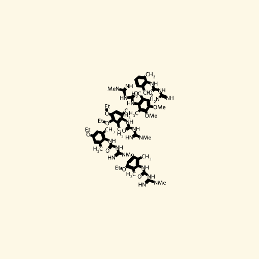 CCOc1cc(C)c(NC(=O)NC(=N)NC)c(C)c1.CCOc1cc(C)c(NC(=O)NC(=N)NC)c(C)c1OCC.CCOc1ccc(C)c(NC(=O)NC(=N)NC)c1C.CNC(=N)NC(=O)Nc1c(C)cc(OC)c(OC)c1C.Cc1cccc(C)c1NC(=O)NC(=N)N